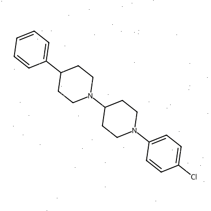 Clc1ccc(N2CCC(N3CCC(c4ccccc4)CC3)CC2)cc1